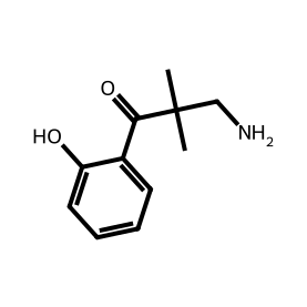 CC(C)(CN)C(=O)c1ccccc1O